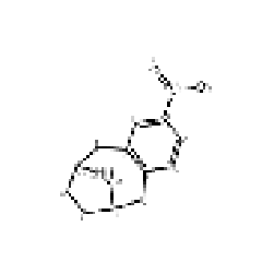 O=[N+]([O-])c1ccc2c(c1)CC1CCC(CN1)C2